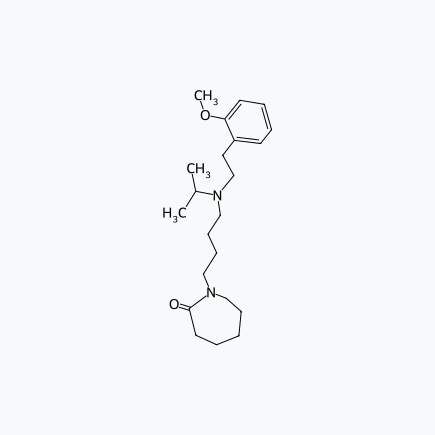 COc1ccccc1CCN(CCCCN1CCCCCC1=O)C(C)C